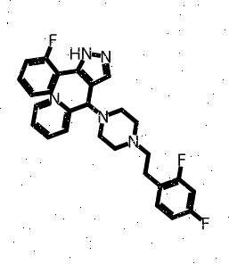 Fc1ccc(CCN2CCN(C(c3ccccn3)c3cn[nH]c3-c3ccccc3F)CC2)c(F)c1